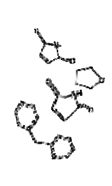 C1CCOC1.O=C1C=CC(=O)N1.O=C1C=CC(=O)N1.c1ccc(Cc2ccccc2)cc1